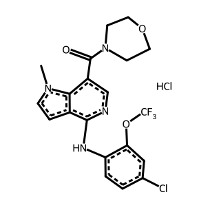 Cl.Cn1ccc2c(Nc3ccc(Cl)cc3OC(F)(F)F)ncc(C(=O)N3CCOCC3)c21